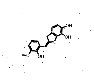 COc1cccc(C=C2Cc3ccc(O)c(O)c3O2)c1O